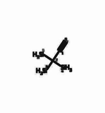 [C]#CC([SiH3])([SiH3])[SiH3]